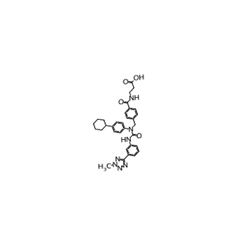 Cn1nnc(-c2cccc(NC(=O)N(Cc3ccc(C(=O)NCCC(=O)O)cc3)c3ccc(C4CCCCC4)cc3)c2)n1